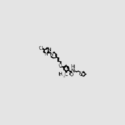 Cc1cc(OCCCC2CCN(c3ncc(Cl)cn3)CC2)ccc1C(=O)NCCN1CCCC1